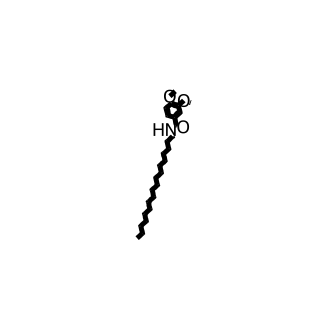 CCCCCCCCCCCCCCCCCCNC(=O)c1ccc(OC)c(OC)c1